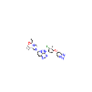 C=CC(=O)N1CCN(c2ccc3ncnc(Nc4ccc(Oc5ccn6ncnc6c5)c(C)c4F)c3n2)C[C@@H]1C1CCC1